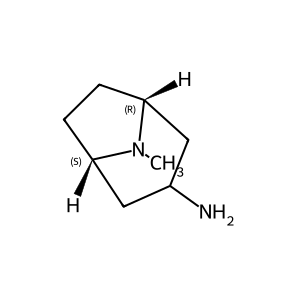 CN1[C@@H]2CC[C@H]1CC(N)C2